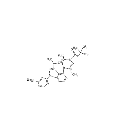 CC(C)c1cn(-c2cc(C#N)ccn2)c2ncnc(N3C[C@@H](C)N(C(=O)OC(C)(C)C)C[C@@H]3C)c12